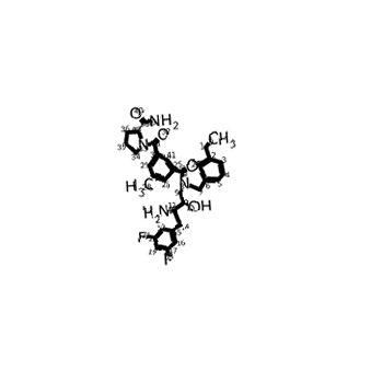 CCc1cccc(CN(C[C@@H](O)[C@@H](N)Cc2cc(F)cc(F)c2)C(=O)c2cc(C)cc(C(=O)N3CCC[C@@H]3C(N)=O)c2)c1